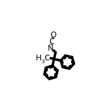 CC(CN=C=O)(c1ccccc1)c1ccccc1